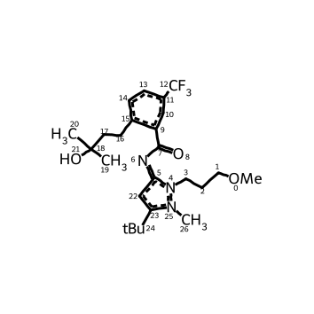 COCCCn1c(=NC(=O)c2cc(C(F)(F)F)ccc2CCC(C)(C)O)cc(C(C)(C)C)n1C